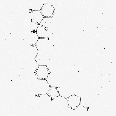 CCc1nc(-c2ccc(F)cc2)cn1-c1ccc(CCNC(=O)NS(=O)(=O)c2ccccc2Cl)cc1